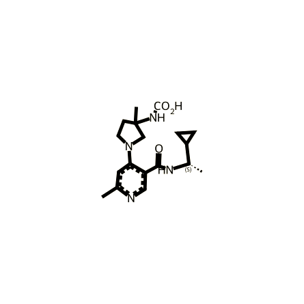 Cc1cc(N2CCC(C)(NC(=O)O)C2)c(C(=O)N[C@@H](C)C2CC2)cn1